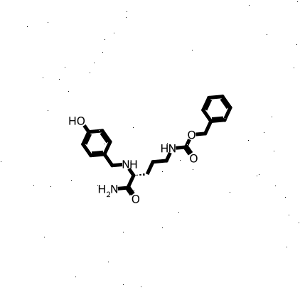 NC(=O)[C@@H](CCCNC(=O)OCc1ccccc1)NCc1ccc(O)cc1